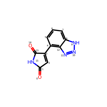 O=C1C=C(c2cccc3[nH]nnc23)C(=O)N1